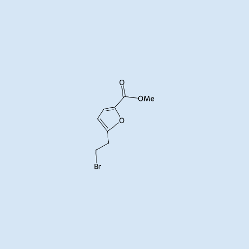 COC(=O)c1ccc(CCBr)o1